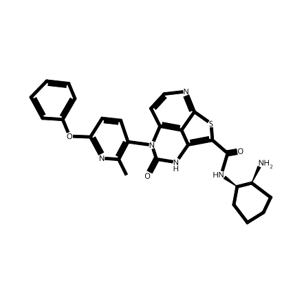 Cc1nc(Oc2ccccc2)ccc1N1C(=O)Nc2c(C(=O)N[C@@H]3CCCC[C@@H]3N)sc3nccc1c23